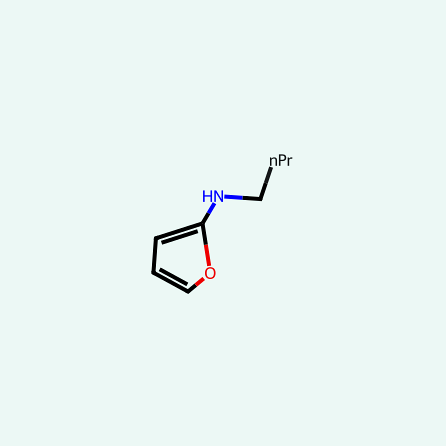 CCCCNc1ccco1